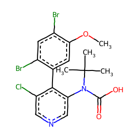 COc1cc(-c2c(Cl)cncc2N(C(=O)O)C(C)(C)C)c(Br)cc1Br